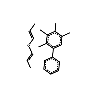 CC=COC=CC.Cc1cc(-c2ccccc2)c(C)c(C)c1C